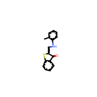 Cc1ccccc1N/C=C1/Sc2ccccc2C1=O